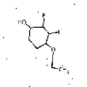 CCOC1CCC(O)C(F)C1F